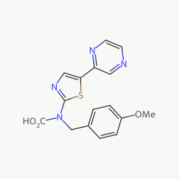 COc1ccc(CN(C(=O)O)c2ncc(-c3cnccn3)s2)cc1